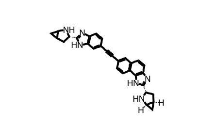 C(#Cc1ccc2nc([C@@H]3CC4CC4N3)[nH]c2c1)c1ccc2c(ccc3nc([C@@H]4C[C@H]5C[C@H]5N4)[nH]c32)c1